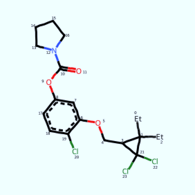 CCC1(CC)C(COc2cc(OC(=O)N3CCCC3)ccc2Cl)C1(Cl)Cl